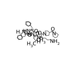 CC(C)C[C@@H](NC(=O)[C@@H](Cc1ccccc1)NC(=O)[C@H](N)Cc1ccccc1)C(=O)N[C@H](CCCCN)C(=O)N1CCC(C(=O)N2CCCCC2)CC1